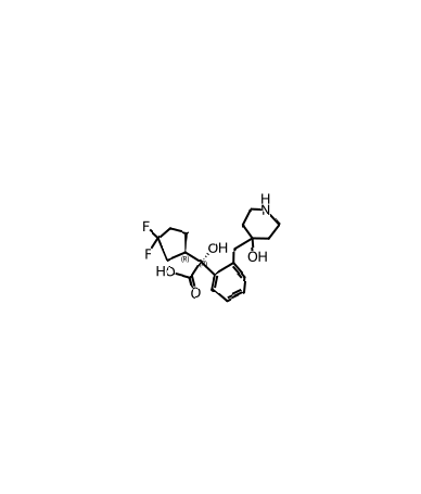 O=C(O)[C@](O)(c1ccccc1CC1(O)CCNCC1)[C@@H]1CCC(F)(F)C1